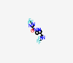 O=C(Nc1cccc2c(-c3cnn(CC(F)(F)F)c3)ccnc12)c1cnc(C(F)(F)F)nc1